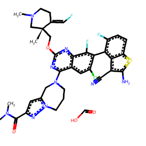 CN1CC/C(=C\F)[C@](C)(COc2nc(N3CCCn4nc(C(=O)N(C)C)cc4C3)c3cc(Cl)c(-c4c(F)ccc5sc(N)c(C#N)c45)c(F)c3n2)C1.O=CO